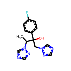 CC(n1cncn1)C(O)(Cn1cncn1)c1ccc(F)cc1